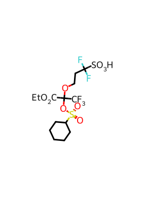 CCOC(=O)C(OCCC(F)(F)S(=O)(=O)O)(OS(=O)(=O)C1CCCCC1)C(F)(F)F